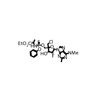 CCOC(=O)[C@@H](C)N[P@@](=S)(OC[C@@]1(CCl)O[C@@H](n2cnc3c(NC)nc(C)nc32)[C@H](F)[C@@H]1O)Oc1ccccc1